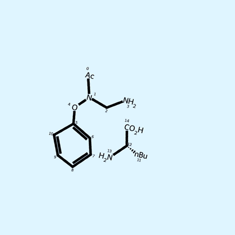 CC(=O)N(CN)Oc1ccccc1.CCCC[C@H](N)C(=O)O